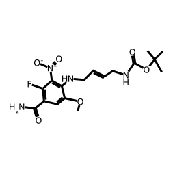 COc1cc(C(N)=O)c(F)c([N+](=O)[O-])c1NCC=CCNC(=O)OC(C)(C)C